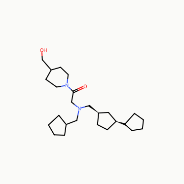 O=C(CN(CC1CCCC1)C[C@@H]1CC[C@H](C2CCCC2)C1)N1CCC(CO)CC1